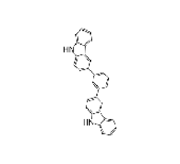 c1cc(-c2ccc3[nH]c4ccccc4c3c2)cc(-c2ccc3[nH]c4ccccc4c3c2)c1